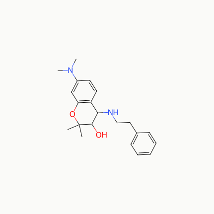 CN(C)c1ccc2c(c1)OC(C)(C)C(O)C2NCCc1ccccc1